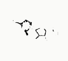 Nc1ccn([C@@H]2O[C@H](CO)[C@@H](O)C2O)c(=O)n1